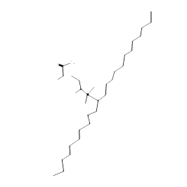 CCCCCCCCCCCCC(CCCCCCCCCC)C(C)(C)C(O)CC.Cl.NC(=O)CO